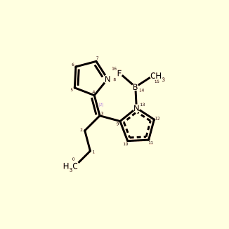 CCC/C(=C1\C=CC=N1)c1cccn1B(C)F